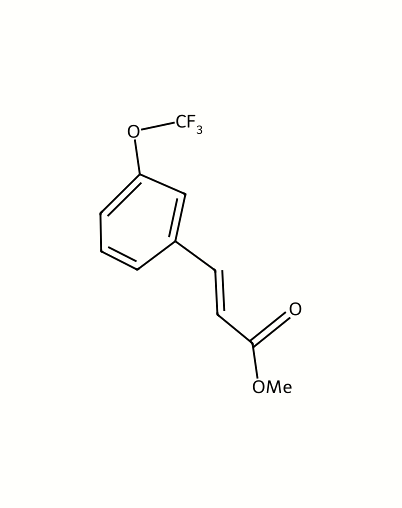 COC(=O)C=Cc1cccc(OC(F)(F)F)c1